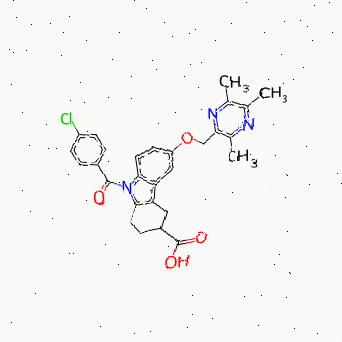 Cc1nc(C)c(COc2ccc3c(c2)c2c(n3C(=O)c3ccc(Cl)cc3)CCC(C(=O)O)C2)nc1C